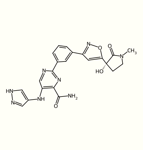 CN1CC[C@@](O)(c2cc(-c3cccc(-c4ncc(Nc5cn[nH]c5)c(C(N)=O)n4)c3)no2)C1=O